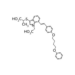 CC(Sc1cn(CC(=O)O)c2c(C=Cc3ccc(OCCCCOc4ccccc4)cc3)cccc12)C(=O)O